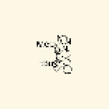 COC(=O)c1nccnc1N1CCC2(CC1)Cc1ccccc1[C@H]2N[S@+]([O-])C(C)(C)C